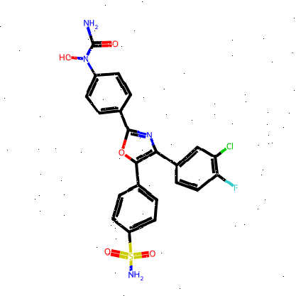 NC(=O)N(O)c1ccc(-c2nc(-c3ccc(F)c(Cl)c3)c(-c3ccc(S(N)(=O)=O)cc3)o2)cc1